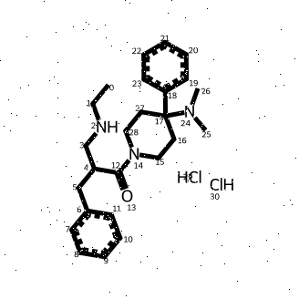 CCNCC(Cc1ccccc1)C(=O)N1CCC(c2ccccc2)(N(C)C)CC1.Cl.Cl